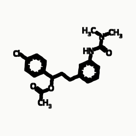 CC(=O)OC(CCc1cccc(NC(=O)N(C)C)c1)c1ccc(Cl)cc1